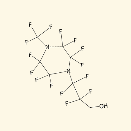 OCC(F)(F)C(F)(F)N1C(F)(F)C(F)(F)N(C(F)(F)F)C(F)(F)C1(F)F